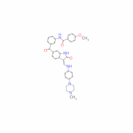 COc1ccc(C(=O)Nc2cccc(C(=O)c3ccc4c(c3)NC(=O)C4=CNc3ccc(N4CCN(C)CC4)cc3)c2)cc1